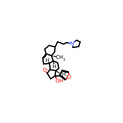 C[C@]12CC(CCCN3CCCC3)CCC1=CC[C@@H]1[C@H]2CC[C@]2(C)C(O)(c3ccoc3)CC3O[C@]312